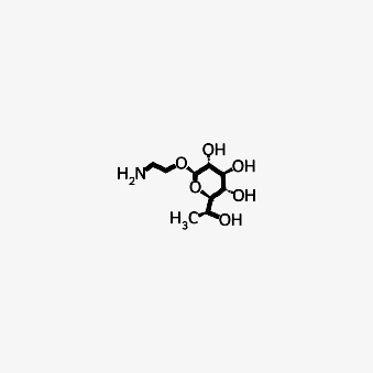 C[C@H](O)[C@H]1O[C@@H](OCCN)[C@H](O)[C@@H](O)[C@@H]1O